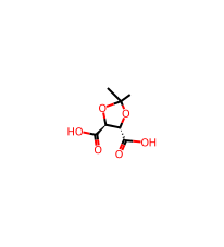 CC1(C)O[C@H](C(=O)O)[C@@H](C(=O)O)O1